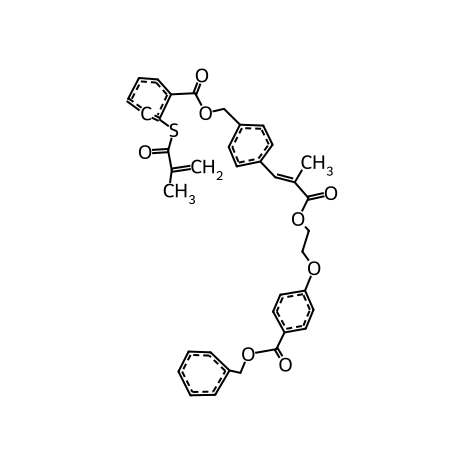 C=C(C)C(=O)Sc1ccccc1C(=O)OCc1ccc(/C=C(\C)C(=O)OCCOc2ccc(C(=O)OCc3ccccc3)cc2)cc1